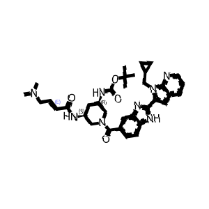 CN(C)C/C=C/C(=O)N[C@H]1C[C@@H](NC(=O)OC(C)(C)C)CN(C(=O)c2ccc3[nH]c(-c4cc5cccnc5n4CC4CC4)nc3c2)C1